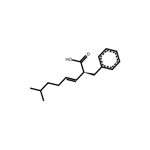 CC(C)CC/C=C/[C@H](Cc1ccccc1)C(=O)O